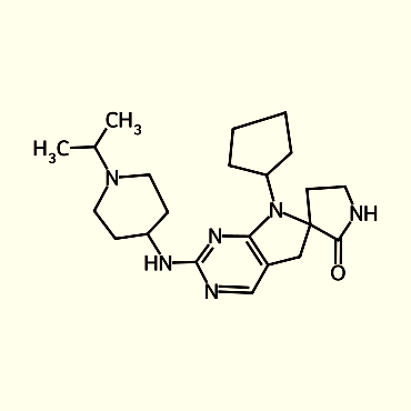 CC(C)N1CCC(Nc2ncc3c(n2)N(C2CCCC2)C2(CCNC2=O)C3)CC1